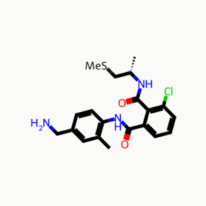 CSC[C@H](C)NC(=O)c1c(Cl)cccc1C(=O)Nc1ccc(CN)cc1C